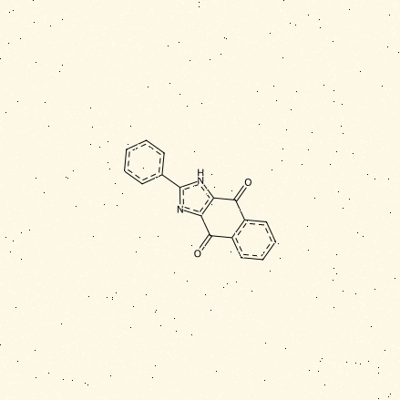 O=C1c2ccccc2C(=O)c2[nH]c(-c3ccccc3)nc21